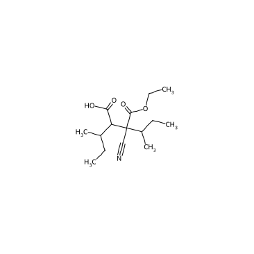 CCOC(=O)C(C#N)(C(C)CC)C(C(=O)O)C(C)CC